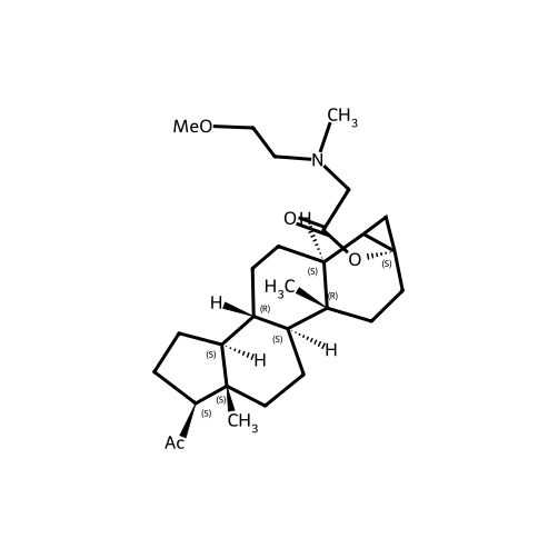 COCCN(C)CC(=O)O[C@]12CC[C@@]3(C)[C@@H](CC[C@@H]4[C@@H]3CC[C@]3(C)[C@@H](C(C)=O)CC[C@@H]43)C1C2